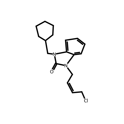 O=c1n(C/C=C\CCl)c2ccccc2n1CC1CCCCC1